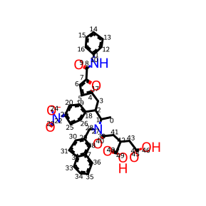 CC(C(Cc1ccc(C(=O)Nc2ccccc2)o1)c1ccc([N+](=O)[O-])cc1)N(Cc1ccc2ccccc2c1)C(=O)CC(CC(=O)O)C(=O)O